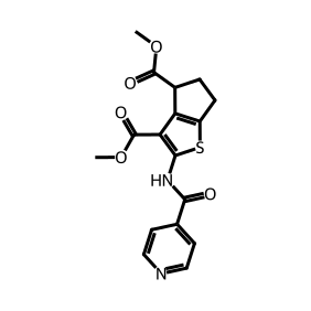 COC(=O)c1c(NC(=O)c2ccncc2)sc2c1C(C(=O)OC)CC2